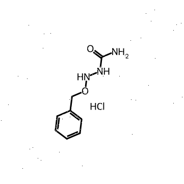 Cl.NC(=O)NNOCc1ccccc1